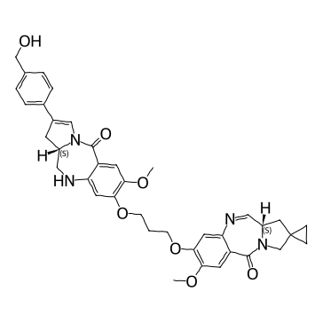 COc1cc2c(cc1OCCCOc1cc3c(cc1OC)C(=O)N1C=C(c4ccc(CO)cc4)C[C@H]1CN3)N=C[C@@H]1CC3(CC3)CN1C2=O